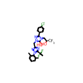 Cc1cccc(C)c1-n1nc(CN2N=C(c3ccc(Cl)cc3)N(C[C@H](O)C(F)(F)F)C2O)nc1C(C)(F)F